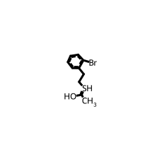 CC(O)=[SH]CCc1ccccc1Br